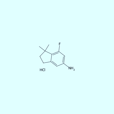 CC1(C)CCc2cc(N)cc(F)c21.Cl